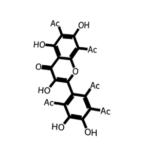 CC(=O)c1c(O)c(O)c(C(C)=O)c(-c2oc3c(C(C)=O)c(O)c(C(C)=O)c(O)c3c(=O)c2O)c1C(C)=O